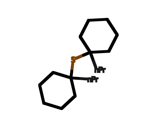 CCCC1(SC2(CCC)CCCCC2)CCCCC1